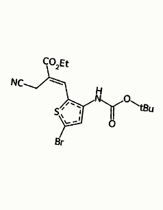 CCOC(=O)/C(=C/c1sc(Br)cc1NC(=O)OC(C)(C)C)CC#N